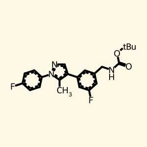 Cc1c(-c2cc(F)cc(CNC(=O)OC(C)(C)C)c2)cnn1-c1ccc(F)cc1